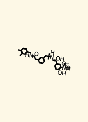 Cc1ccc(CNC(=O)Cc2cccc(CC(C)(C)NC[C@H](O)c3ccc(O)c(NS(C)(=O)=O)c3)c2)cc1C